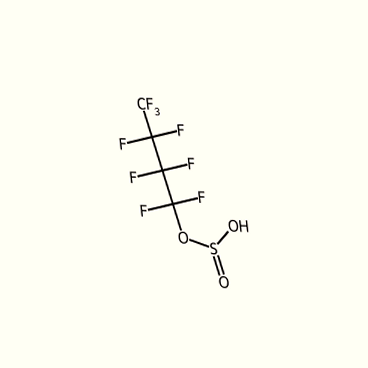 O=S(O)OC(F)(F)C(F)(F)C(F)(F)C(F)(F)F